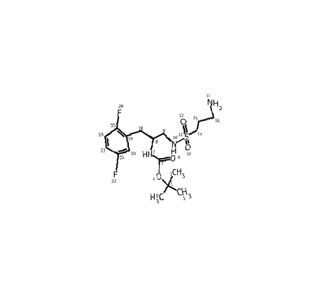 CC(C)(C)OC(=O)NC(CNS(=O)(=O)CCCN)Cc1cc(F)ccc1F